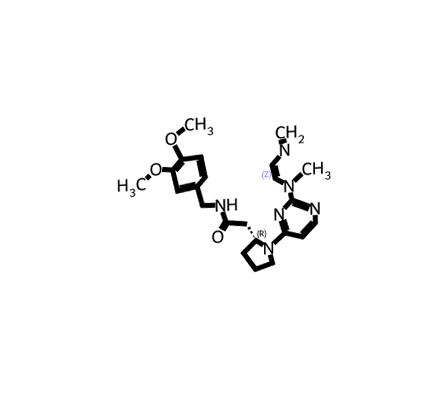 C=N/C=C\N(C)c1nccc(N2CCC[C@@H]2CC(=O)NCc2ccc(OC)c(OC)c2)n1